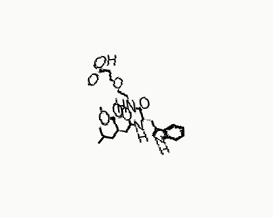 COC(=O)[C@@H](CC(=O)N[C@@H](Cc1c[nH]c2ccccc12)C(=O)NCCOCCC(=O)O)CC(C)C